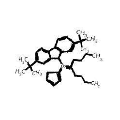 CCCC[C](CCCC)=[Zr]([C]1=CC=CC1)[CH]1c2cc(C(C)(C)C)ccc2-c2ccc(C(C)(C)C)cc21